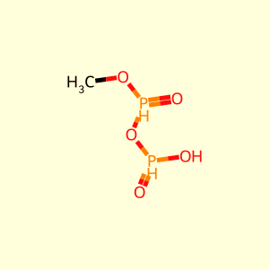 CO[PH](=O)O[PH](=O)O